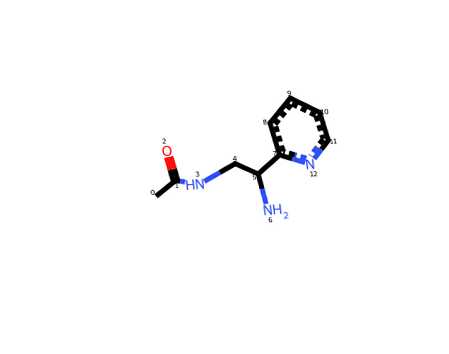 CC(=O)NCC(N)c1ccccn1